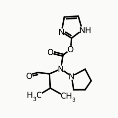 CC(C)C(C=O)N(C(=O)Oc1ncc[nH]1)N1CCCC1